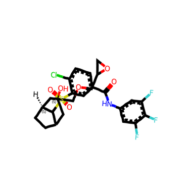 O=C(Nc1cc(F)c(F)c(F)c1)c1ccc(Cl)c(S(=O)(=O)C2C3CC[C@H]2C[C@](O)(COCC2CO2)C3)c1